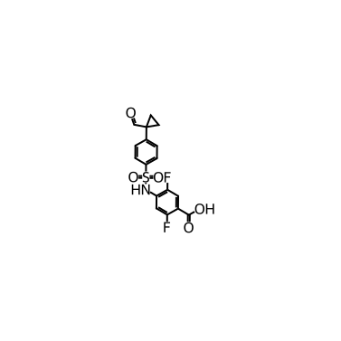 O=CC1(c2ccc(S(=O)(=O)Nc3cc(F)c(C(=O)O)cc3F)cc2)CC1